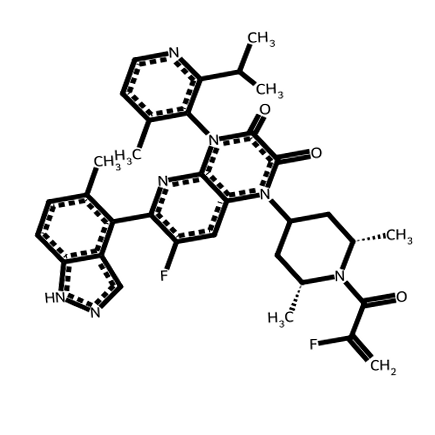 C=C(F)C(=O)N1[C@H](C)CC(n2c(=O)c(=O)n(-c3c(C)ccnc3C(C)C)c3nc(-c4c(C)ccc5[nH]ncc45)c(F)cc32)C[C@@H]1C